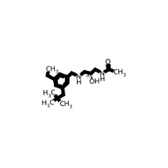 CCc1cc(CNC[C@@H](O)CNC(C)=O)cc(CC(C)(C)C)c1